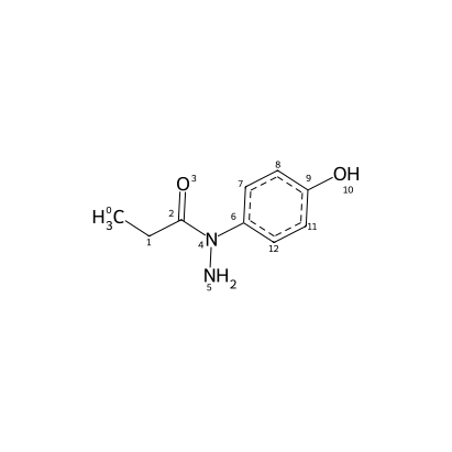 CCC(=O)N(N)c1ccc(O)cc1